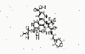 CCNC(=O)Nc1ncc(-c2cncc(C(=O)O)c2)c(-c2nc(C(F)(F)F)c(C(=O)NCCN3CCOCC3)s2)c1C(=O)O